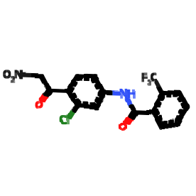 O=C(C[N+](=O)[O-])c1ccc(NC(=O)c2ccccc2C(F)(F)F)cc1Cl